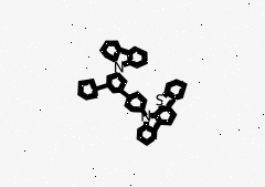 c1ccc(-c2cc(-c3ccc(-n4c5ccccc5c5ccc6c7ccccc7sc6c54)cc3)cc(-n3c4ccccc4c4ccccc43)c2)cc1